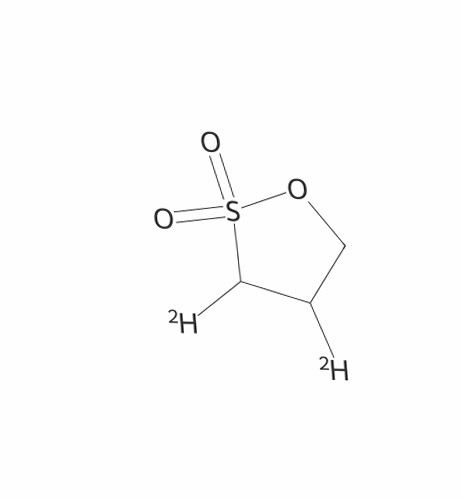 [2H]C1COS(=O)(=O)C1[2H]